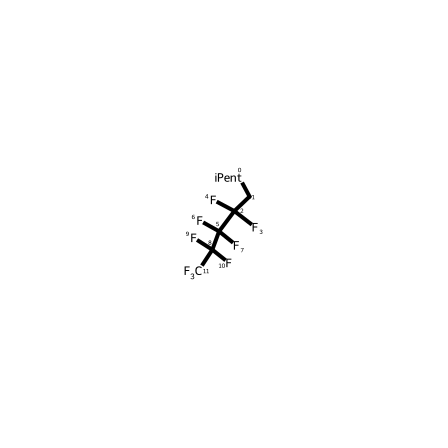 CCCC(C)CC(F)(F)C(F)(F)C(F)(F)C(F)(F)F